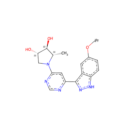 CC(C)Oc1ccc2[nH]nc(-c3cc(N4C[C@H](O)[C@@H](O)[C@@H]4C)ncn3)c2c1